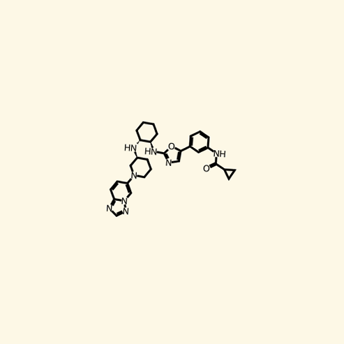 O=C(Nc1cccc(-c2cnc(N[C@@H]3CCCC[C@H]3N[C@H]3CCCN(c4ccc5ncnn5c4)C3)o2)c1)C1CC1